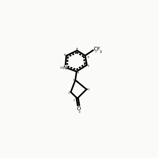 O=C1CC(c2cc(C(F)(F)F)ccn2)C1